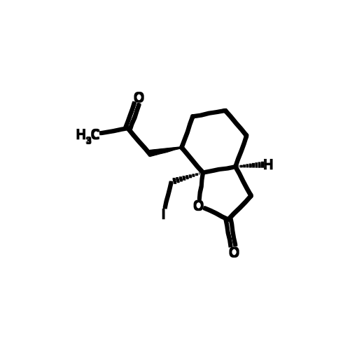 CC(=O)C[C@H]1CCC[C@H]2CC(=O)O[C@@]12CI